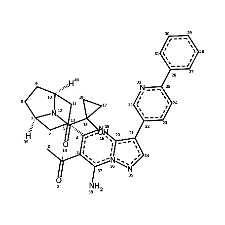 CC(=O)c1c([C@@H]2C[C@H]3CC[C@@H](C2)N3C(=O)C2(O)CC2)nc2c(-c3ccc(-c4ccccc4)nc3)cnn2c1N